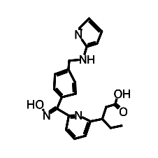 CCC(CC(=O)O)c1cccc(C(=NO)c2ccc(CNc3ccccn3)cc2)n1